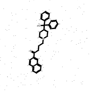 O=C(CCCN1CCC(C(O)(c2ccccc2)c2ccccc2)CC1)c1ccc2ccccc2c1